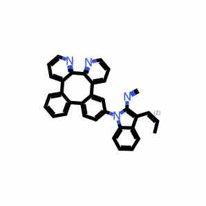 C=Nc1c(/C=C\C)c2ccccc2n1-c1ccc2c(c1)-c1cccnc1-c1ncccc1-c1ccccc1-2